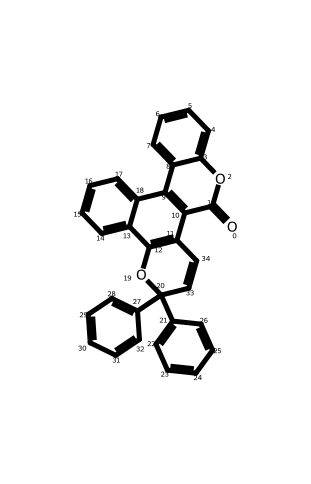 O=c1oc2ccccc2c2c1c1c(c3ccccc32)OC(c2ccccc2)(c2ccccc2)C=C1